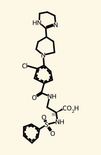 O=C(NC[C@H](NS(=O)(=O)c1ccccc1)C(=O)O)c1ccc(N2CCC(C3=NCCCN3)CC2)c(Cl)c1